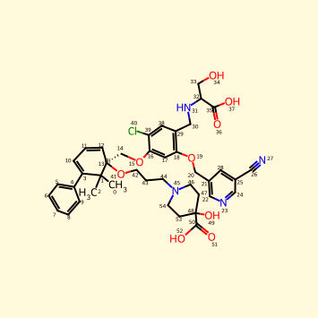 CC1(C)C(c2ccccc2)=CC=C[C@@]1(COc1cc(OCc2cncc(C#N)c2)c(CNC(CO)C(=O)O)cc1Cl)OCCCN1CCC(O)(C(=O)O)CC1